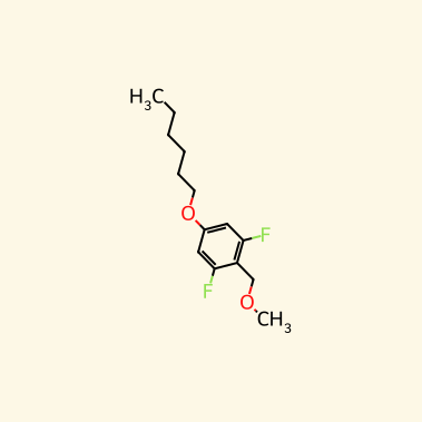 CCCCCCOc1cc(F)c(COC)c(F)c1